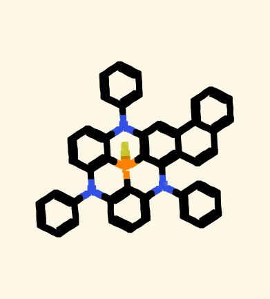 S=P12c3c4cccc3N(c3ccccc3)c3cc5c(ccc6ccccc65)c(c31)N(c1ccccc1)c1cccc(c12)N4c1ccccc1